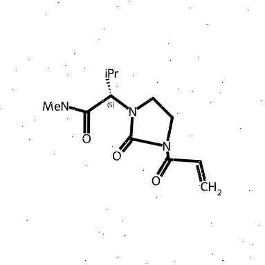 C=CC(=O)N1CCN([C@H](C(=O)NC)C(C)C)C1=O